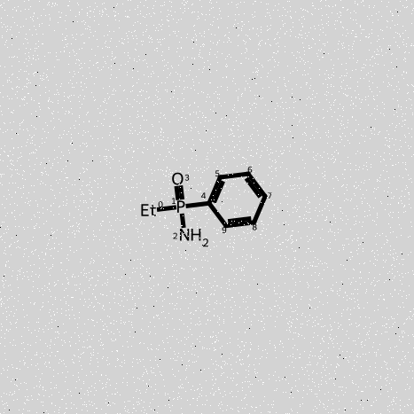 CCP(N)(=O)c1ccccc1